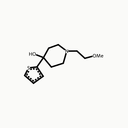 COCCN1CCC(O)(c2cccs2)CC1